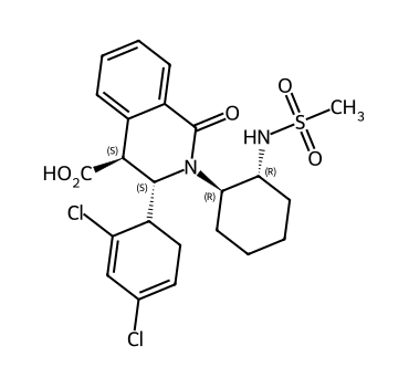 CS(=O)(=O)N[C@@H]1CCCC[C@H]1N1C(=O)c2ccccc2[C@H](C(=O)O)[C@H]1C1CC=C(Cl)C=C1Cl